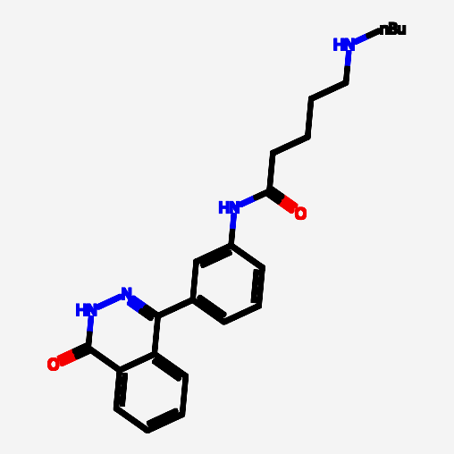 CCCCNCCCCC(=O)Nc1cccc(-c2n[nH]c(=O)c3ccccc23)c1